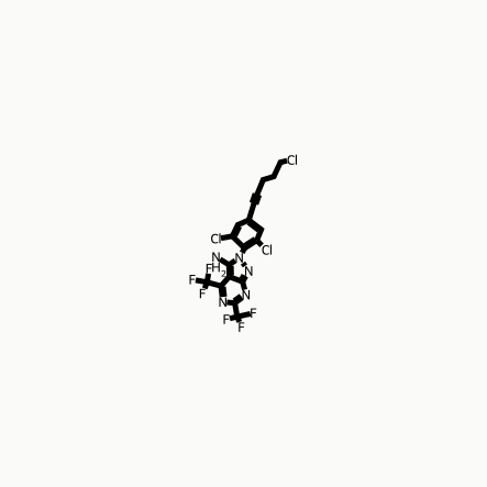 Nc1c2c(C(F)(F)F)nc(C(F)(F)F)nc2nn1-c1c(Cl)cc(C#CCCCCl)cc1Cl